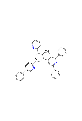 CC1C(C2=CC(c3ccccc3)=NC(c3ccccc3)C2)=CC(c2ccc(-c3ccccc3)cn2)=CC1C1CC=CC=N1